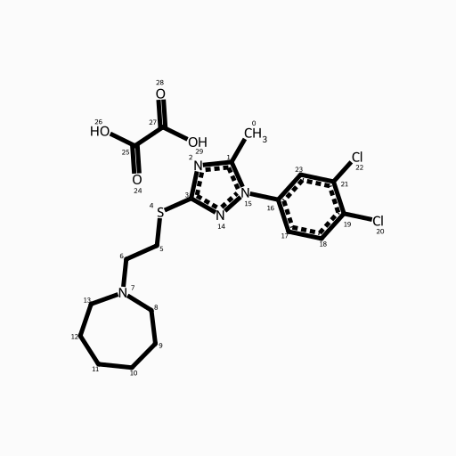 Cc1nc(SCCN2CCCCCC2)nn1-c1ccc(Cl)c(Cl)c1.O=C(O)C(=O)O